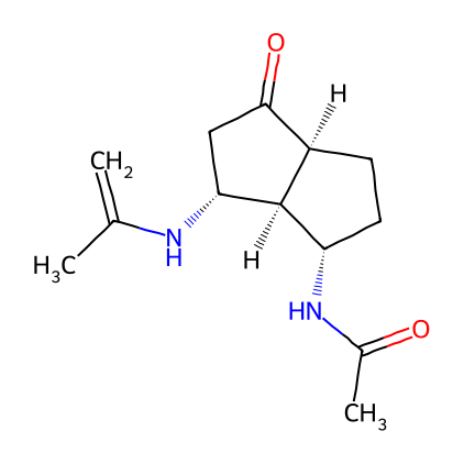 C=C(C)N[C@@H]1CC(=O)[C@H]2CC[C@H](NC(C)=O)[C@H]21